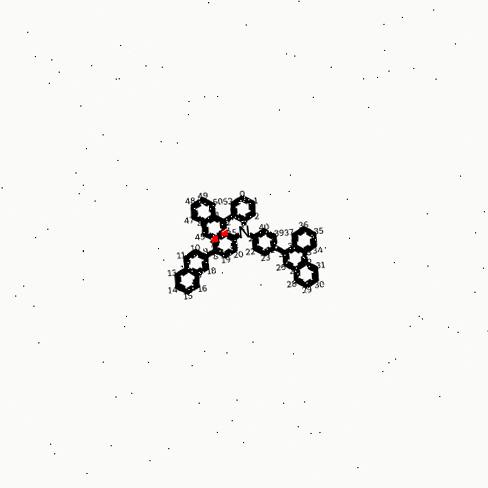 c1ccc(N(c2ccc(-c3ccc4ccccc4c3)cc2)c2ccc(-c3cc4ccccc4c4ccccc34)cc2)c(-c2cccc3ccccc23)c1